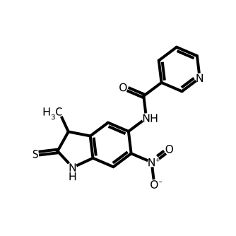 CC1C(=S)Nc2cc([N+](=O)[O-])c(NC(=O)c3cccnc3)cc21